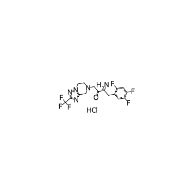 Cl.NC(Cc1cc(F)c(F)cc1F)C(=O)CN1CCn2nc(C(F)(F)F)nc2C1